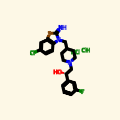 Cl.Cl.N=c1sc2cc(Cl)ccc2n1CC1CCN(C[C@@H](O)c2cccc(F)c2)CC1